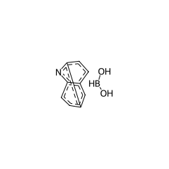 OBO.c1cc2nc3ccc2cc13